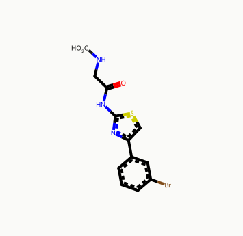 O=C(O)NCC(=O)Nc1nc(-c2cccc(Br)c2)cs1